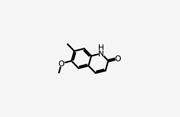 COc1cc2ccc(=O)[nH]c2cc1C